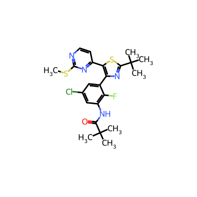 CSc1nccc(-c2sc(C(C)(C)C)nc2-c2cc(Cl)cc(NC(=O)C(C)(C)C)c2F)n1